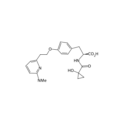 CNc1cccc(CCOc2ccc(C[C@H](NC(=O)C3(O)CC3)C(=O)O)cc2)n1